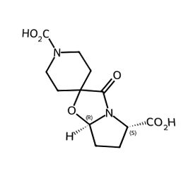 O=C(O)[C@@H]1CC[C@H]2OC3(CCN(C(=O)O)CC3)C(=O)N21